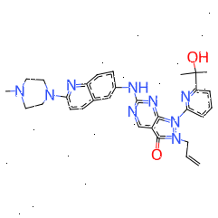 C=CCn1c(=O)c2cnc(Nc3ccc4nc(N5CCN(C)CC5)ccc4c3)nc2n1-c1cccc(C(C)(C)O)n1